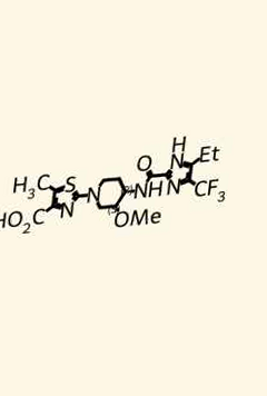 CCc1[nH]c(C(=O)N[C@@H]2CCN(c3nc(C(=O)O)c(C)s3)C[C@@H]2OC)nc1C(F)(F)F